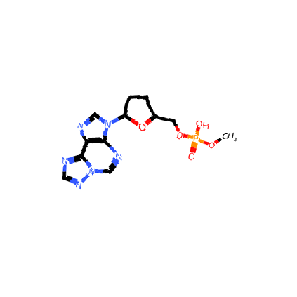 COP(=O)(O)OCC1CCC(n2cnc3c2ncn2ncnc32)O1